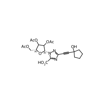 CC(=O)OC[C@H]1O[C@@H](n2nc(C#CC3(O)CCCC3)nc2C(=O)O)C(OC(C)=O)C1OC(C)=O